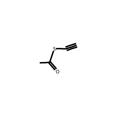 C#CSC(C)=O